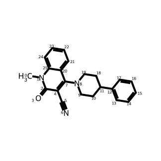 Cn1c(=O)c(C#N)c(N2CCC(c3ccccc3)CC2)c2ccccc21